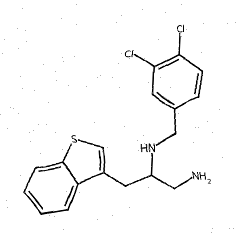 NCC(Cc1csc2ccccc12)NCc1ccc(Cl)c(Cl)c1